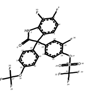 O=C1Nc2c(ccc(F)c2F)C1(c1ccc(OC(F)(F)F)cc1)c1ccc(OS(=O)(=O)C(F)(F)F)c(F)c1